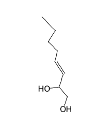 CCCCC=CC(O)CO